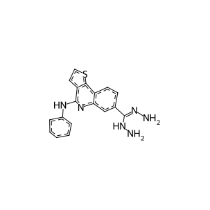 N/N=C(\NN)c1ccc2c(c1)nc(Nc1ccccc1)c1ccsc12